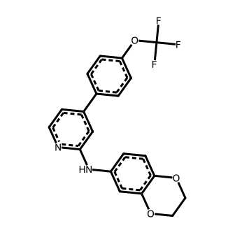 FC(F)(F)Oc1ccc(-c2ccnc(Nc3ccc4c(c3)OCCO4)c2)cc1